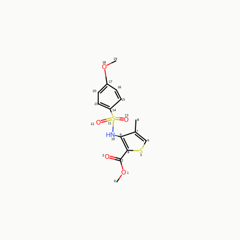 COC(=O)c1scc(C)c1NS(=O)(=O)c1ccc(OC)cc1